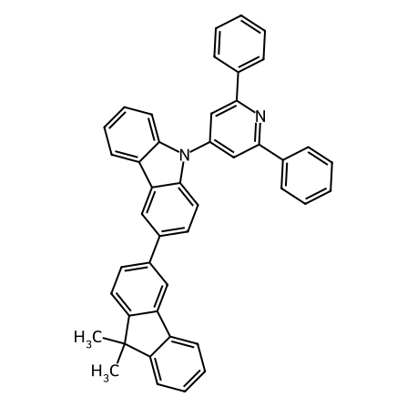 CC1(C)c2ccccc2-c2cc(-c3ccc4c(c3)c3ccccc3n4-c3cc(-c4ccccc4)nc(-c4ccccc4)c3)ccc21